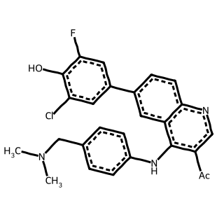 CC(=O)c1cnc2ccc(-c3cc(F)c(O)c(Cl)c3)cc2c1Nc1ccc(CN(C)C)cc1